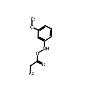 CCOc1cccc(NOC(=O)CC(C)=O)c1